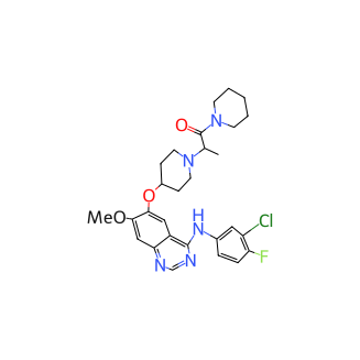 COc1cc2ncnc(Nc3ccc(F)c(Cl)c3)c2cc1OC1CCN(C(C)C(=O)N2CCCCC2)CC1